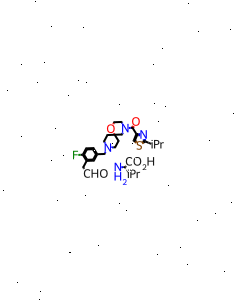 CC(C)[C@H](N)C(=O)O.CC(C)c1nc(C(=O)N2CCOC3(CCN(Cc4ccc(F)c(CC=O)c4)CC3)C2)cs1